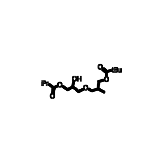 CC(COCC(O)COC(=O)C(C)C)COC(=O)C(C)(C)C